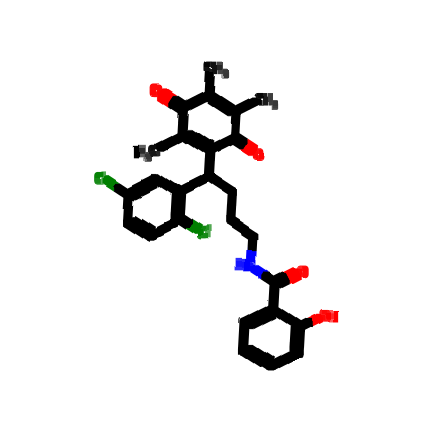 CC1=C(C)C(=O)C(C(CCCNC(=O)c2ccccc2O)c2cc(Cl)ccc2Cl)=C(C)C1=O